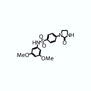 COc1cc(NS(=O)(=O)c2ccc(N3CCNC3=O)cc2)cc(OC)c1